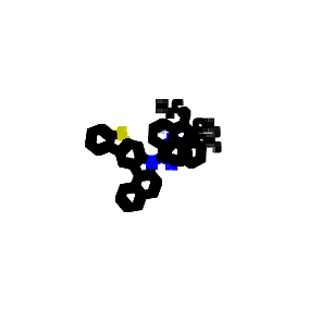 C=CC1=C(/C=C\Cc2nc3ccccc3nc2-n2c3cc4sc5ccccc5c4cc3c3c4ccccc4ccc32)c2ccccc2C1(C)C